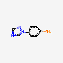 Pc1ccc(-n2cncn2)cc1